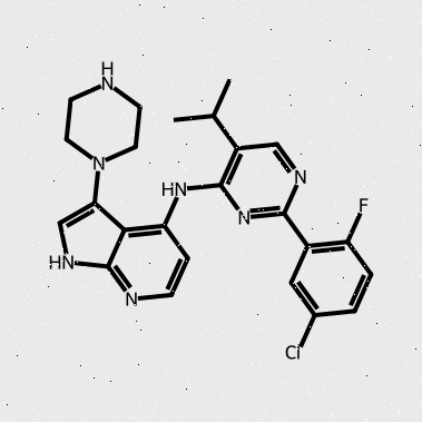 CC(C)c1cnc(-c2cc(Cl)ccc2F)nc1Nc1ccnc2[nH]cc(N3CCNCC3)c12